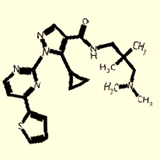 CN(C)CC(C)(C)CNC(=O)c1cnn(-c2nccc(-c3cccs3)n2)c1C1CC1